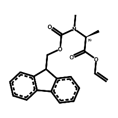 C=COC(=O)[C@H](C)N(C)C(=O)OCC1c2ccccc2-c2ccccc21